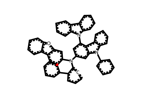 c1ccc(-c2ccccc2N(c2ccc3c(c2)oc2ccccc23)c2cc(-n3c4ccccc4c4ccccc43)c3c4ccccc4n(-c4ccccc4)c3c2)cc1